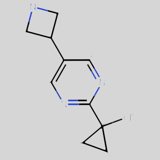 FC(F)(F)C1(c2ncc(C3CNC3)cn2)CC1